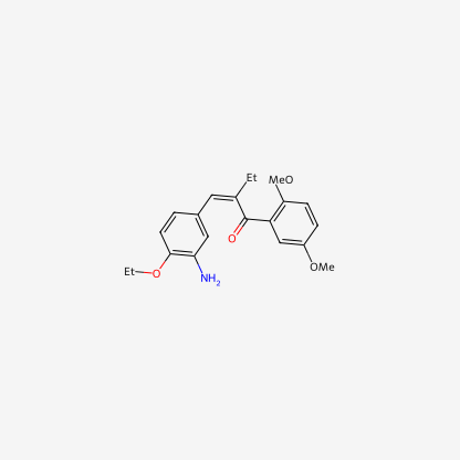 CCOc1ccc(C=C(CC)C(=O)c2cc(OC)ccc2OC)cc1N